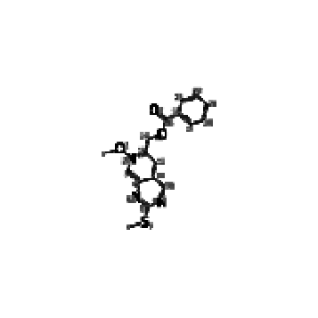 CO[n+]1cc2nc(SC)ncc2cc1COC(=O)c1ccccc1